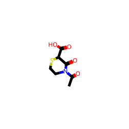 CC(=O)N1CCSC(C(=O)O)C1=O